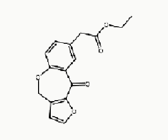 CCOC(=O)Cc1ccc2c(c1)C(=O)c1occc1CO2